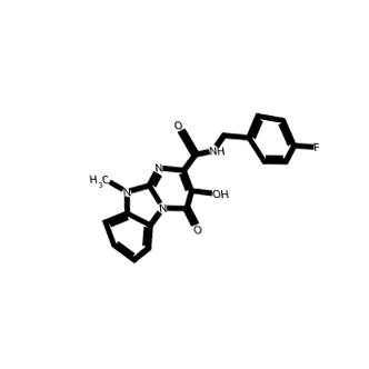 Cn1c2ccccc2n2c(=O)c(O)c(C(=O)NCc3ccc(F)cc3)nc12